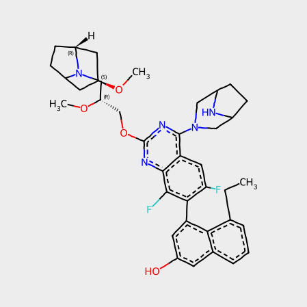 CCc1cccc2cc(O)cc(-c3c(F)cc4c(N5CC6CCC(C5)N6)nc(OC[C@@H](CN5C6CC[C@@H]5C[C@@H](OC)C6)OC)nc4c3F)c12